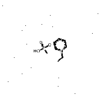 CC[n+]1ccccc1.CP(=O)([O-])O